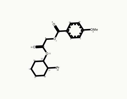 COc1ccc(C(=O)OCC(=O)OC2CCCCC2C(C)C)cc1